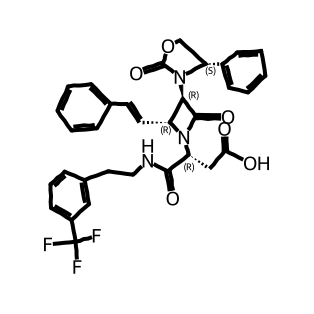 O=C(O)C[C@H](C(=O)NCCc1cccc(C(F)(F)F)c1)N1C(=O)[C@H](N2C(=O)OC[C@@H]2c2ccccc2)[C@H]1C=Cc1ccccc1